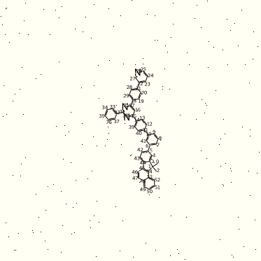 CC1(C)c2cc(-c3cccc(-c4ccc(-c5cc(-c6ccc(-c7cccnc7)cc6)nc(-c6ccccc6)n5)cc4)c3)ccc2-c2ccc3ccccc3c21